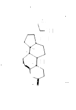 CC(=O)OC(C)[C@H]1CC[C@H]2[C@@H]3CC=C4OC(=O)CC[C@@]4(C)[C@@H]3CC[C@]12C